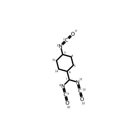 O=C=NC1CCC(C(N=C=O)N=C=O)CC1